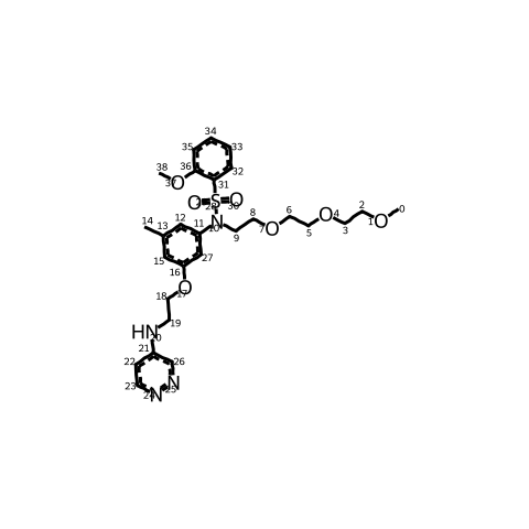 COCCOCCOCCN(c1cc(C)cc(OCCNc2ccnnc2)c1)S(=O)(=O)c1ccccc1OC